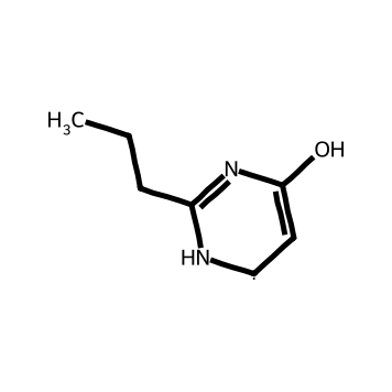 CCCC1=NC(O)=C[CH]N1